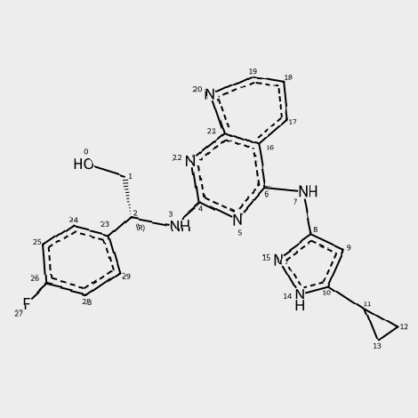 OC[C@H](Nc1nc(Nc2cc(C3CC3)[nH]n2)c2cccnc2n1)c1ccc(F)cc1